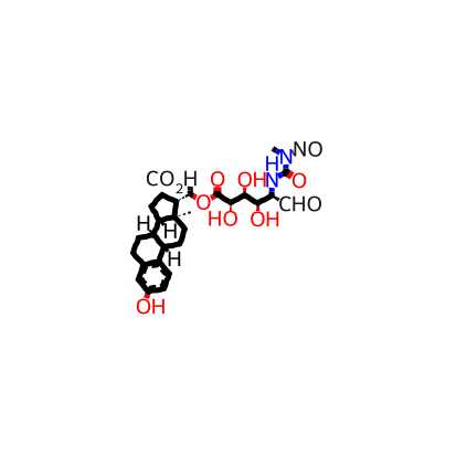 CN(N=O)C(=O)N[C@@H](C=O)[C@@H](O)[C@H](O)[C@H](O)C(=O)OC(C(=O)O)[C@H]1CC[C@H]2[C@@H]3CCc4cc(O)ccc4[C@H]3CC[C@]12C